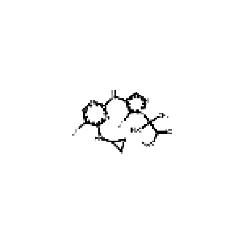 CNC(=O)C(C)(C)n1ncc(Nc2ncc(C(F)(F)F)c(NC3CC3)n2)c1C